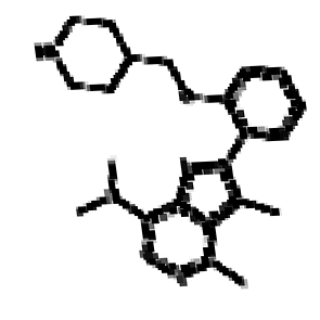 Cc1nnc(N(C)C)c2nn(-c3ccccc3OCC3CCNCC3)c(C)c12